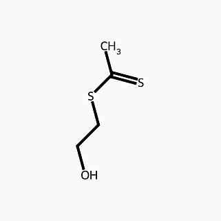 CC(=S)SCCO